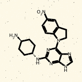 N[C@H]1CC[C@H](Nc2nc(N3CCc4cc([N+](=O)[O-])ccc43)c3nc[nH]c3n2)CC1